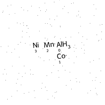 [AlH3].[Co].[Mn].[Ni]